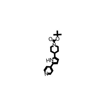 CC(C)(C)OC(=O)N1CCC(c2ccc(-c3ccncc3)[nH]2)CC1